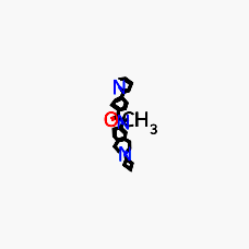 CN(C(=O)c1ccc(-c2ccccn2)cc1)c1ccc2c(c1)CCN(C1CCC1)CC2